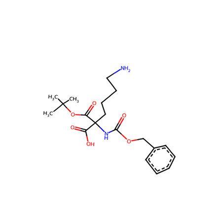 CC(C)(C)OC(=O)C(CCCCN)(NC(=O)OCc1ccccc1)C(=O)O